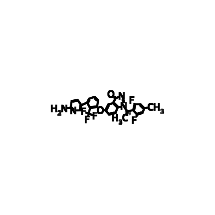 Cc1cc(F)c([C@@H](C)n2cnc(=O)c3cc(Oc4cccc(-c5ccc(N)nc5)c4C(F)(F)F)ccc32)c(F)c1